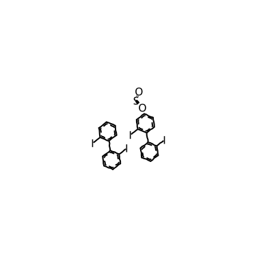 Ic1ccccc1-c1ccccc1I.Ic1ccccc1-c1ccccc1I.O=S=O